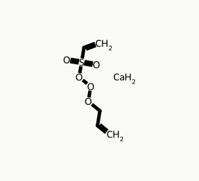 C=CCOOOS(=O)(=O)C=C.[CaH2]